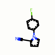 N#Cc1cccn1-c1ccc(F)cc1